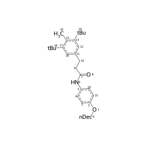 CCCCCCCCCCOc1ccc(NC(=O)CCc2cc(C(C)(C)C)c(C)c(C(C)(C)C)c2)cc1